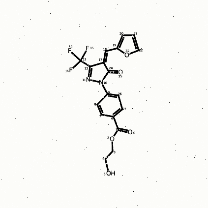 O=C(OCCO)c1ccc(N2N=C(C(F)(F)F)C(=Cc3ccco3)C2=O)cc1